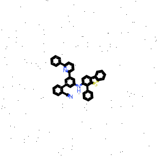 N#Cc1ccccc1-c1cc(Nc2ccc3c(sc4ccccc43)c2-c2ccccc2)cc(-c2cccc(-c3ccccc3)n2)c1